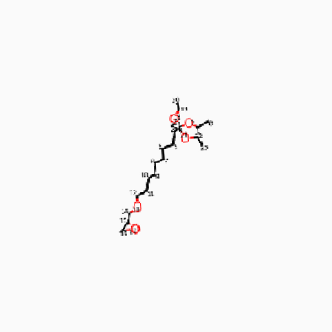 CCO[Si](CCCCCCCCCOCC1CO1)(OCC)OCC